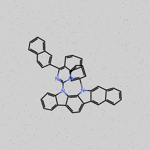 C1=CC2=C(c3ccc4ccccc4c3)N=C(n3c4ccccc4c4ccc5c6cc7ccccc7cc6n(-c6ccccc6)c5c43)NC2C=C1